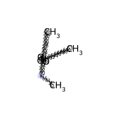 CCCCCCCC/C=C\CCCCCCCC(=O)N(C(=O)CCCCCCCCCCCCCCC)C(=O)CCCCCCCCCCCCCCC